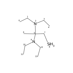 CCN(CC)C(C)(C[SiH3])N(CC)CC